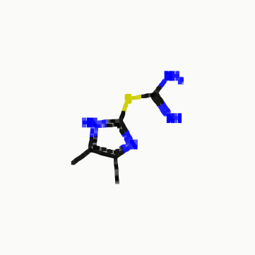 Cc1nc(SC(=N)N)[nH]c1C